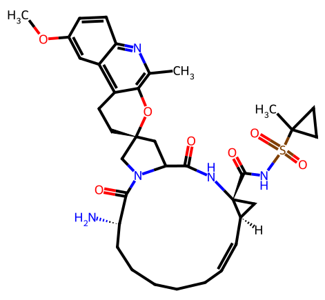 COc1ccc2nc(C)c3c(c2c1)CC[C@]1(CC2C(=O)N[C@]4(C(=O)NS(=O)(=O)C5(C)CC5)C[C@H]4/C=C\CCCCC[C@H](N)C(=O)N2C1)O3